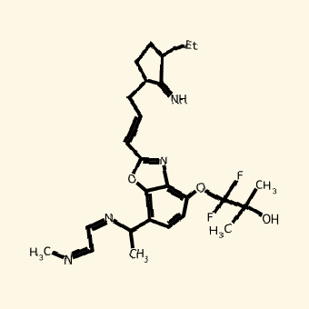 CCC1CCC(C/C=C/c2nc3c(OC(F)(F)C(C)(C)O)ccc(C(C)/N=C\C=N/C)c3o2)C1=N